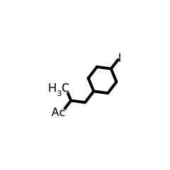 CC(=O)C(C)CC1CCC(I)CC1